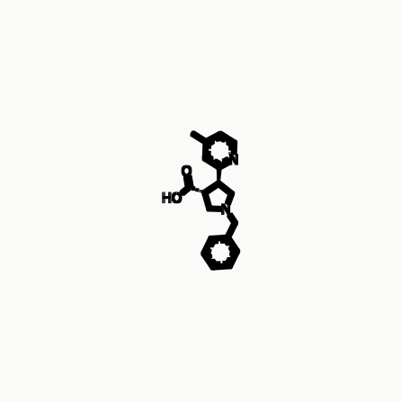 Cc1ccnc([C@H]2CN(Cc3ccccc3)C[C@@H]2C(=O)O)c1